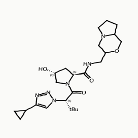 CC(C)(C)[C@@H](C(=O)N1C[C@H](O)C[C@H]1C(=O)NCC1CN2CCCC2CO1)n1cc(C2CC2)nn1